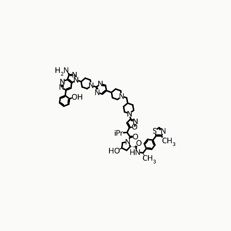 Cc1ncsc1-c1ccc([C@H](C)NC(=O)[C@@H]2C[C@@H](O)CN2C(=O)C(c2cc(N3CCC(CN4CCC(c5cnc(N6CCC(n7nc(N)c8nnc(-c9ccccc9O)cc87)CC6)nc5)CC4)CC3)no2)C(C)C)cc1